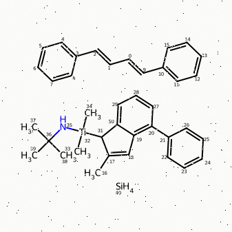 C(C=Cc1ccccc1)=Cc1ccccc1.CC1=Cc2c(-c3ccccc3)cccc2[CH]1[Ti]([CH3])([CH3])[NH]C(C)(C)C.[SiH4]